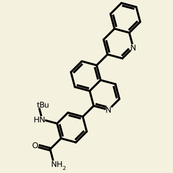 CC(C)(C)Nc1cc(-c2nccc3c(-c4cnc5ccccc5c4)cccc23)ccc1C(N)=O